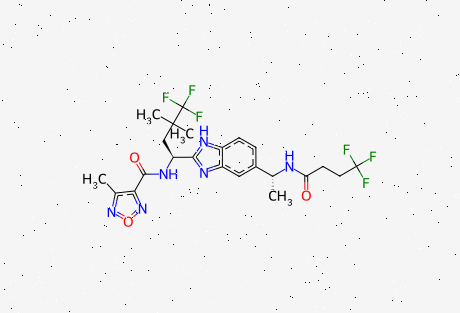 Cc1nonc1C(=O)N[C@@H](CC(C)(C)C(F)(F)F)c1nc2cc([C@@H](C)NC(=O)CCC(F)(F)F)ccc2[nH]1